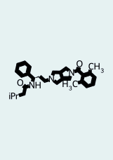 Cc1cccc(C)c1C(=O)N1C=C2CN(CC[C@H](NC(=O)CC(C)C)c3ccccc3)CC2C1